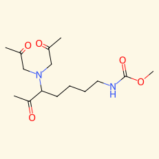 COC(=O)NCCCCC(C(C)=O)N(CC(C)=O)CC(C)=O